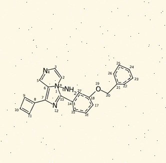 N[N+]12C=CN=CC1=C(C1=CC=C1)N=C2c1cccc(OCc2ccccc2)c1